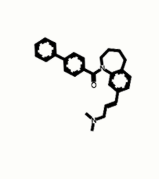 CN(C)CC=Cc1ccc2c(c1)N(C(=O)c1ccc(-c3ccccc3)cc1)CCCC2